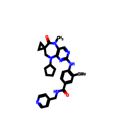 COc1cc(C(=O)NCc2ccncc2)ccc1Nc1ncc2c(n1)N(C1CCCC1)CC1(CC1)C(=O)N2C